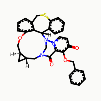 O=C1c2c(OCc3ccccc3)c(=O)ccn2N2CN1C[C@@H]1C[C@H]1COc1cccc3c1[C@@H]2c1ccccc1SC3